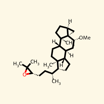 CO[C@@H]1C[C@H]2[C@@H]3CC[C@H]([C@H](C)CC[C@@H]4OC4(C)C)[C@@]3(C)CC[C@@H]2[C@@]2(C)CC[C@H]3C[C@]312